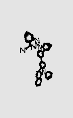 N#Cc1nc(-n2c3ccccc3c3cc(-c4ccc5c(c4)c4ccc6ccccc6c4n5-c4ccccc4)ccc32)nc2ccccc12